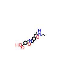 CCCNC(=O)/C(C)=C\c1ccc2ccn(Cc3ccc(C(=O)O)cc3OC)c2c1